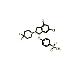 CS(=O)(=O)c1ccc(O[C@H]2c3cc(Cl)cc(Cl)c3C[C@@H]2N2CCC(F)(F)CC2)cc1